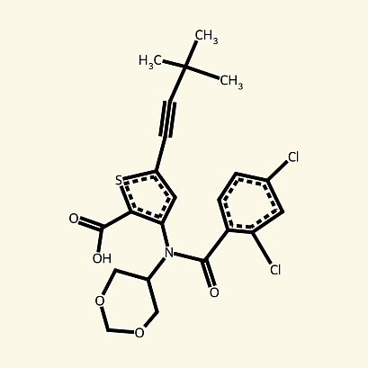 CC(C)(C)C#Cc1cc(N(C(=O)c2ccc(Cl)cc2Cl)C2COCOC2)c(C(=O)O)s1